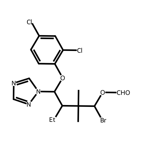 CCC(C(Oc1ccc(Cl)cc1Cl)n1cncn1)C(C)(C)C(Br)OC=O